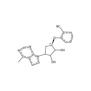 Cc1ncnc2c1ccn2C1C[C@@H](Oc2ccccc2C#N)C(O)C1O